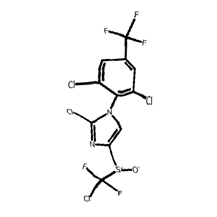 [O-][S+](c1cn(-c2c(Cl)cc(C(F)(F)F)cc2Cl)c(Cl)n1)C(F)(F)Cl